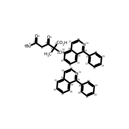 CC(C)(C)C(=O)CC(=O)C(C)(C)C(=O)O.c1ccc(-c2nccc3ccccc23)cc1.c1ccc(-c2nccc3ccccc23)cc1